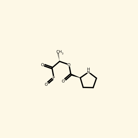 C[C@H](OC(=O)[C@@H]1CCCN1)C(=O)P=O